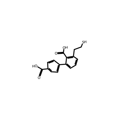 O=C(O)c1ccc(-c2cccc(CCS)c2C(=O)O)cc1